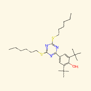 CCCCCCSc1nc(SCCCCCC)nc(-c2cc(C(C)(C)C)c(O)c(C(C)(C)C)c2)n1